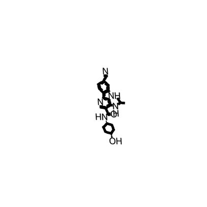 CC(C)Nc1c(C(=O)N[C@H]2CC[C@H](O)CC2)cnc2c1[nH]c1cc(C#N)ccc12